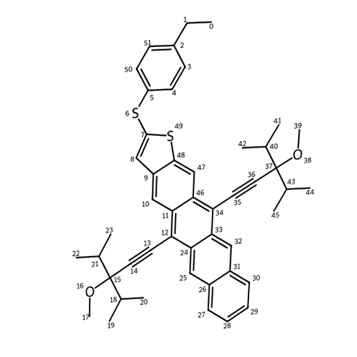 CCc1ccc(Sc2cc3cc4c(C#CC(OC)(C(C)C)C(C)C)c5cc6ccccc6cc5c(C#CC(OC)(C(C)C)C(C)C)c4cc3s2)cc1